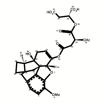 COc1ccc2c3c1O[C@H]1C(OC(=O)C[C@H](OC(C)=O)C(=O)O[C@H](CC(=O)O)C(=O)O)=CC[C@@]4(O)[C@@H]5CCC5(C2)C[C@]314